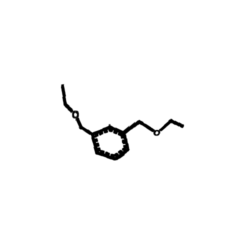 CCOCc1[c]c(COCC)ccc1